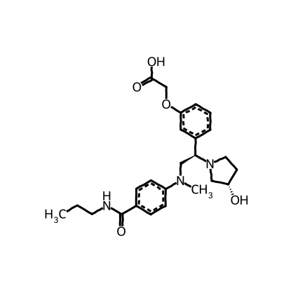 CCCNC(=O)c1ccc(N(C)C[C@@H](c2cccc(OCC(=O)O)c2)N2CC[C@H](O)C2)cc1